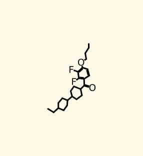 CCCCOc1ccc(C(=O)C2CCC(C3CCC(CC)CC3)CC2)c(F)c1F